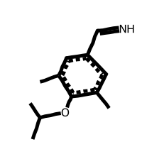 Cc1cc(C=N)cc(C)c1OC(C)C